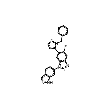 Fc1cc2nnn(-c3ccc4cn[nH]c4c3)c2cc1-c1ccnn1Cc1ccccc1